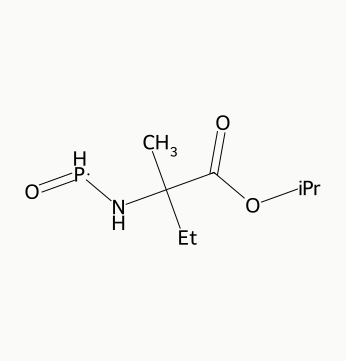 CCC(C)(N[PH]=O)C(=O)OC(C)C